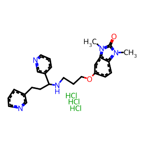 Cl.Cl.Cl.Cn1c(=O)n(C)c2cc(OCCCNC(CCc3cccnc3)c3cccnc3)ccc21